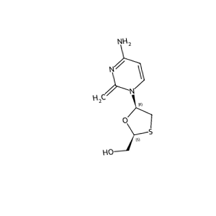 C=C1N=C(N)C=CN1[C@H]1CS[C@@H](CO)O1